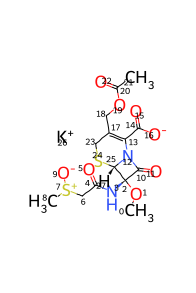 CO[C@@]1(NC(=O)C[S+](C)[O-])C(=O)N2C(C(=O)[O-])=C(COC(C)=O)CS[C@H]21.[K+]